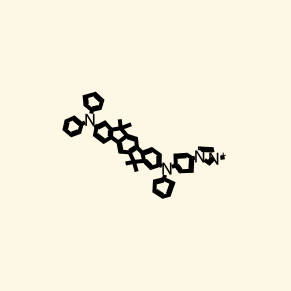 C[n+]1ccn(-c2ccc(N(c3ccccc3)c3ccc4c(c3)C(C)(C)c3cc5c(cc3-4)C(C)(C)c3cc(N(c4ccccc4)c4ccccc4)ccc3-5)cc2)c1